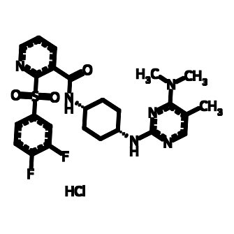 Cc1cnc(N[C@H]2CC[C@@H](NC(=O)c3cccnc3S(=O)(=O)c3ccc(F)c(F)c3)CC2)nc1N(C)C.Cl